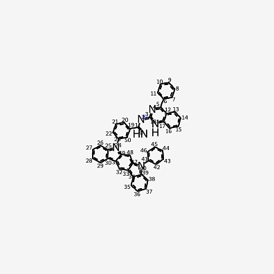 N=C(/N=c1/nc(-c2ccccc2)c2ccccc2[nH]1)c1cccc(-n2c3ccccc3c3cc4c5ccccc5n(-c5ccccc5)c4cc32)c1